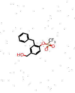 O=S(=O)(Oc1ccc(CO)cc1Cc1ccccc1)C(F)(F)F